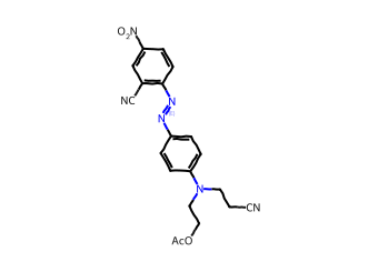 CC(=O)OCCN(CCC#N)c1ccc(/N=N/c2ccc([N+](=O)[O-])cc2C#N)cc1